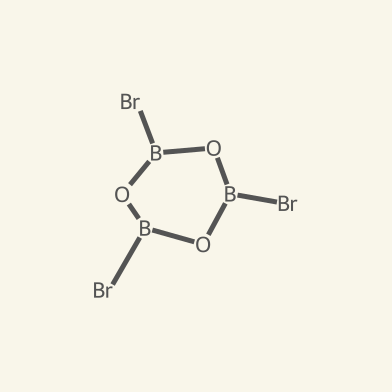 BrB1OB(Br)OB(Br)O1